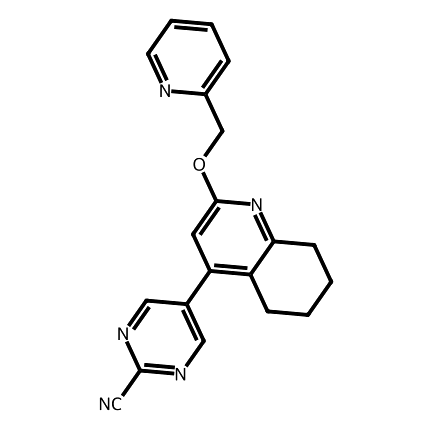 N#Cc1ncc(-c2cc(OCc3ccccn3)nc3c2CCCC3)cn1